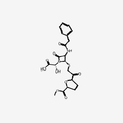 COC(=O)C1CCC(C(=O)CS[C@@H]2C(NC(=O)Cc3ccccc3)C(=O)N2[C@H](O)C(=O)O)O1